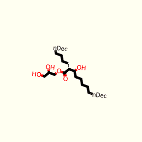 CCCCCCCCCCCCCCCC(O)[C@@H](CCCCCCCCCCCCCC)C(=O)OCC(O)CO